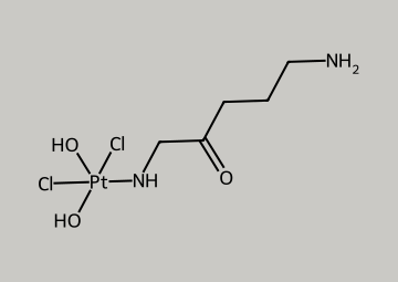 NCCCC(=O)C[NH][Pt]([OH])([OH])([Cl])[Cl]